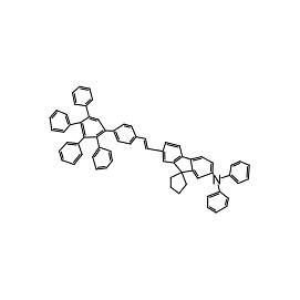 C(=C\c1ccc2c(c1)C1(CCCC1)c1cc(N(c3ccccc3)c3ccccc3)ccc1-2)/c1ccc(-c2cc(-c3ccccc3)c(-c3ccccc3)c(-c3ccccc3)c2-c2ccccc2)cc1